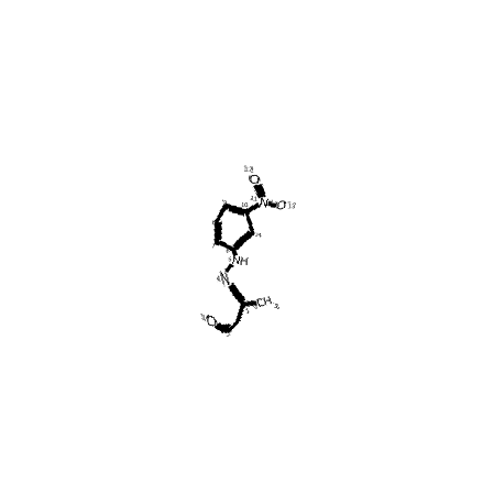 C/C(C=O)=N\Nc1cccc([N+](=O)[O-])c1